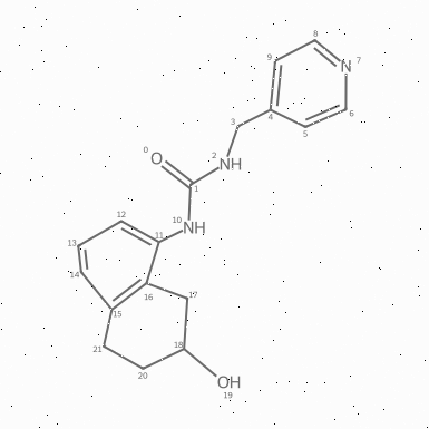 O=C(NCc1ccncc1)Nc1cccc2c1CC(O)CC2